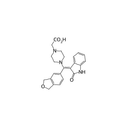 O=C(O)CN1CCN(C(=C2C(=O)Nc3ccccc32)c2ccc3c(c2)COC3)CC1